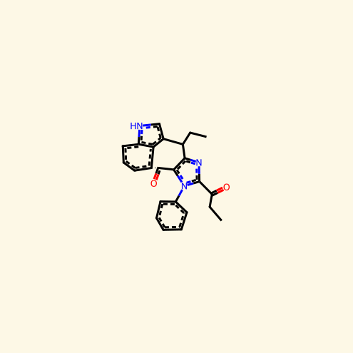 CCC(=O)c1nc(C(CC)c2c[nH]c3ccccc23)c([C]=O)n1-c1ccccc1